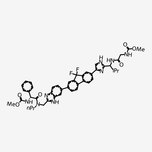 CCCN(Cc1nc2ccc(-c3ccc4c(c3)C(F)(F)c3cc(-c5c[nH]c(C(NC(=O)CNC(=O)OC)C(C)C)n5)ccc3-4)cc2[nH]1)C(=O)[C@H](NC(=O)OC)c1ccccc1